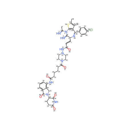 CC(=N)N1C(=N)[C@H](/C=C/C(=O)NN2CCN(C(=O)CCCCC(=O)Nc3cccc4c3CN(C3CCC(=O)NC3=O)C4=O)CC2)N=C(c2ccc(Cl)cc2)c2c1sc(C)c2C